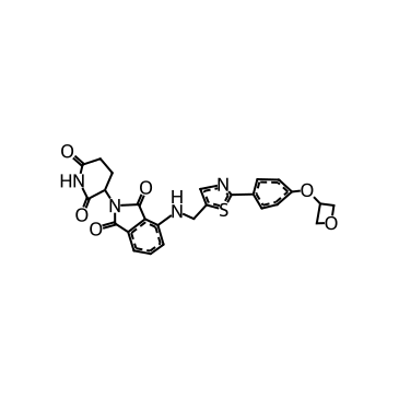 O=C1CCC(N2C(=O)c3cccc(NCc4cnc(-c5ccc(OC6COC6)cc5)s4)c3C2=O)C(=O)N1